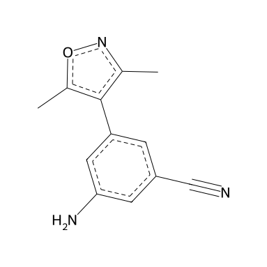 Cc1noc(C)c1-c1cc(N)cc(C#N)c1